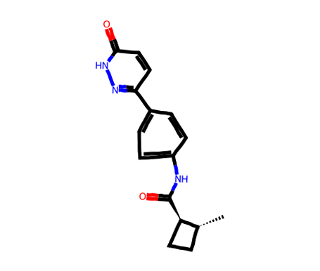 C[C@@H]1CC[C@H]1C(=O)Nc1ccc(-c2ccc(=O)[nH]n2)cc1